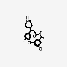 CC(c1cc(Cl)cc(Cl)c1)N(C)C(=O)CC(c1ccc(F)cc1)C1CCNCC1